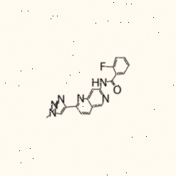 Cn1cc(-c2ccc3cnc(NC(=O)c4ccccc4F)cc3n2)nn1